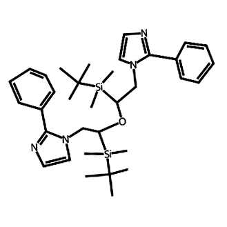 CC(C)(C)[Si](C)(C)C(Cn1ccnc1-c1ccccc1)OC(Cn1ccnc1-c1ccccc1)[Si](C)(C)C(C)(C)C